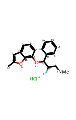 CNCC(F)C(Oc1cccc2cc(C)oc12)c1ccccc1.Cl